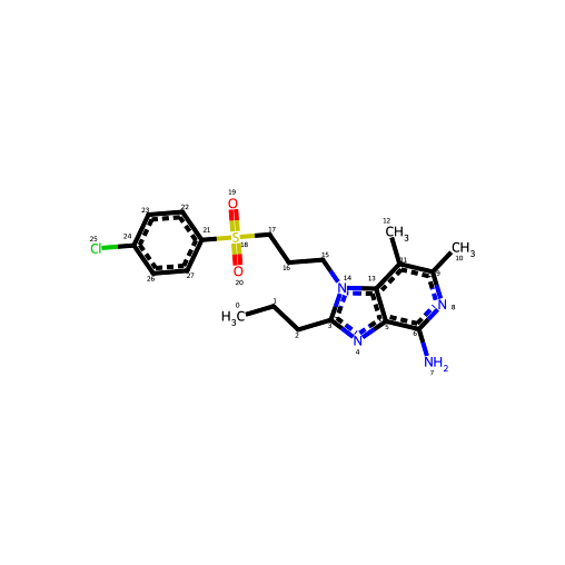 CCCc1nc2c(N)nc(C)c(C)c2n1CCCS(=O)(=O)c1ccc(Cl)cc1